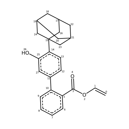 C=COC(=O)c1ccccc1-c1ccc(C23CC4CC(CC(C4)C2)C3)c(O)c1